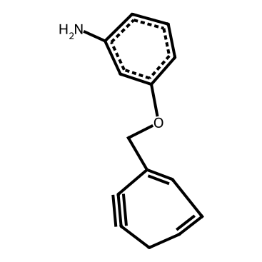 Nc1cccc(OCC2=CC=CCC#C2)c1